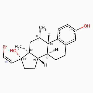 C[C@H]1C[C@@]2(C)[C@@H](CC[C@@]2(O)/C=C\Br)[C@@H]2CCc3cc(O)ccc3[C@H]21